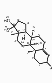 C[C@]12CCC(O)C=C1CC[C@@H]1[C@H]2CC[C@@]2(C)[C@H]1CCC2(O)S